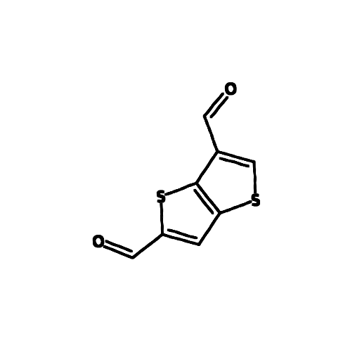 O=Cc1cc2scc(C=O)c2s1